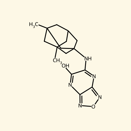 CC12CC3CC(C)(C1)CC(Nc1nc4nonc4nc1O)(C3)C2